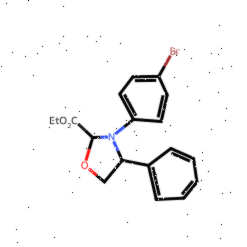 CCOC(=O)C1OCC(c2ccccc2)N1c1ccc(Br)cc1